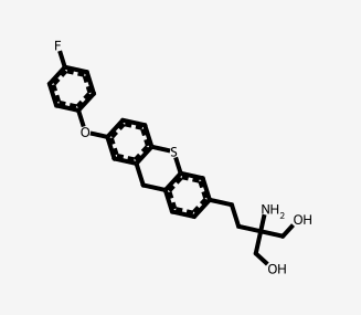 NC(CO)(CO)CCc1ccc2c(c1)Sc1ccc(Oc3ccc(F)cc3)cc1C2